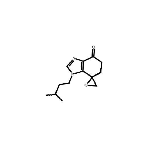 CC(C)CCn1cnc2c1C1(CCC2=O)CO1